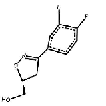 OC[C@@H]1CC(c2ccc(F)c(F)c2)=NO1